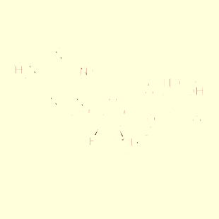 Nc1ncnc2c1ncn2[C@@H]1O[C@H](COC(Cc2ccccc2)(C(=O)O)C(=O)O)[C@@H](O)[C@H]1F